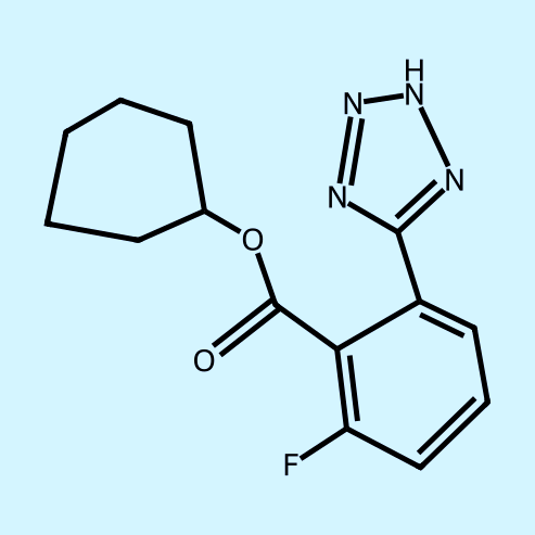 O=C(OC1CCCCC1)c1c(F)cccc1-c1nn[nH]n1